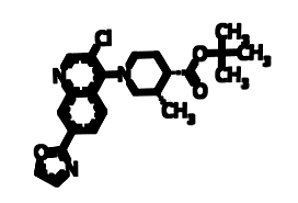 C[C@@H]1CN(c2c(Cl)cnc3cc(-c4ncco4)ccc23)CC[C@@H]1C(=O)OC(C)(C)C